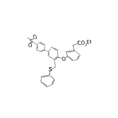 CCOC(=O)Cc1cccc(Oc2ccc(-c3ccc(S(C)(=O)=O)cc3)cc2CSc2ccccc2)c1